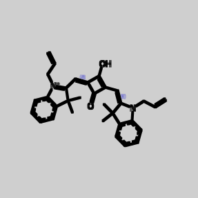 C=CCN1/C(=C/C2=C(O)C(=C/C3=[N+](CC=C)c4ccccc4C3(C)C)/C2=O)C(C)(C)c2ccccc21